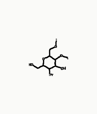 CC(C)C1C(CO)OC(COI)C(OI)C1O